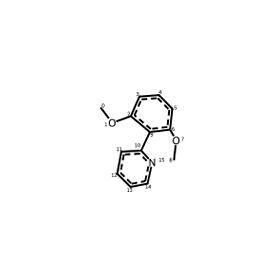 COc1cccc(OC)c1-c1ccccn1